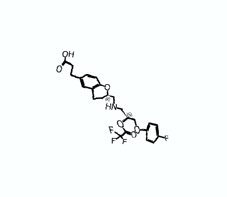 O=C(O)CCc1ccc2c(c1)CC[C@H](CNC[C@@H](COc1ccc(F)cc1)OC(=O)C(F)(F)F)O2